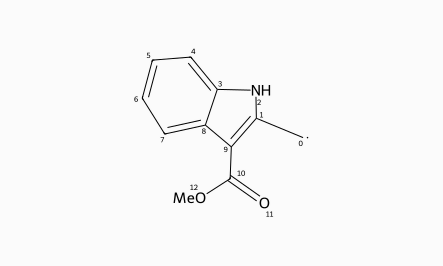 [CH2]c1[nH]c2ccccc2c1C(=O)OC